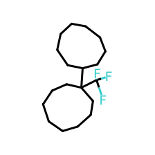 FC(F)(F)C1(C2CCCCCCCC2)CCCCCCCC1